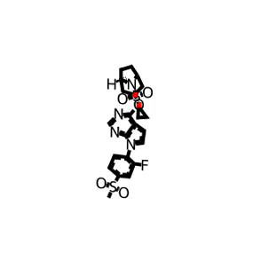 CS(=O)(=O)c1ccc(-n2ccc3c(OC4CC5CC[C@@H](C4)N5S(=O)(=O)C4CC4)ncnc32)c(F)c1